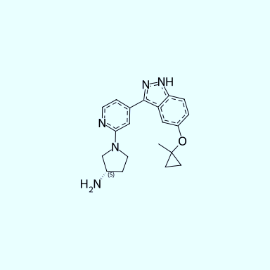 CC1(Oc2ccc3[nH]nc(-c4ccnc(N5CC[C@H](N)C5)c4)c3c2)CC1